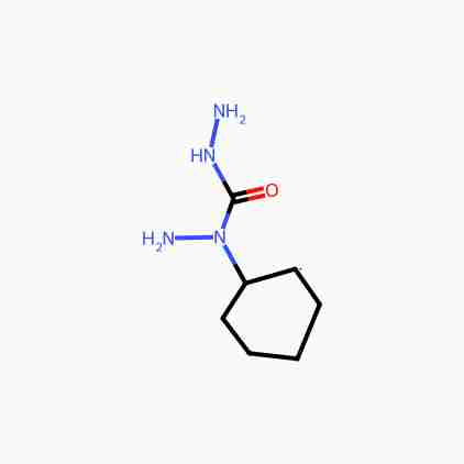 NNC(=O)N(N)C1[CH]CCCC1